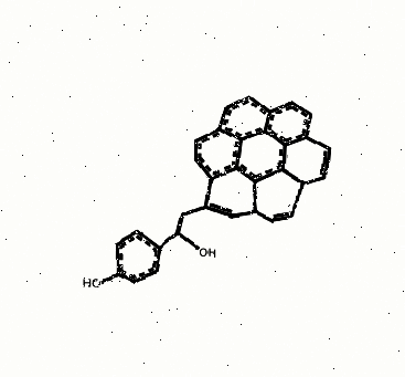 Oc1ccc(C(O)CC2=CC3C=CC4C=Cc5ccc6ccc7ccc2c2c3c4c5c6c72)cc1